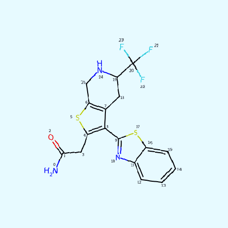 NC(=O)Cc1sc2c(c1-c1nc3ccccc3s1)CC(C(F)(F)F)NC2